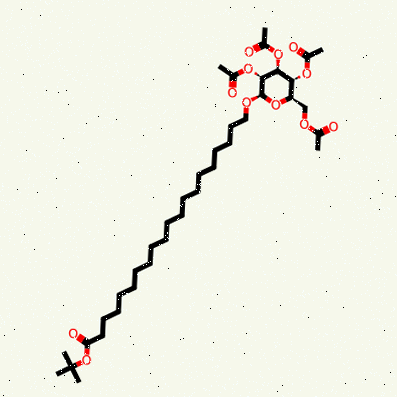 CC(=O)OC[C@H]1O[C@@H](OCCCCCCCCCCCCCCCCCCCC(=O)OC(C)(C)C)[C@H](OC(C)=O)[C@@H](OC(C)=O)[C@@H]1OC(C)=O